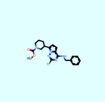 CC(C)(C)OC(=O)N1CCCC(c2ccc3c(NCc4ccccc4)nc(Cl)nn23)C1